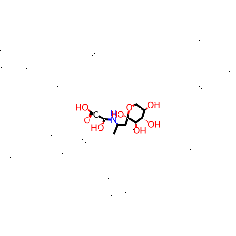 CC(C[C@@]1(O)OC[C@@H](O)[C@H](O)[C@H]1O)NC(O)CC(=O)O